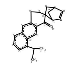 CC(C)c1cccc2cc3c(cc12)C(=O)C1(CC3)CC2C=CC1C2